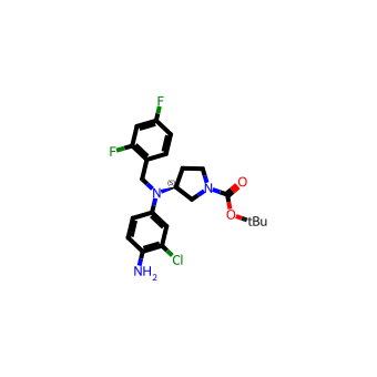 CC(C)(C)OC(=O)N1CC[C@H](N(Cc2ccc(F)cc2F)c2ccc(N)c(Cl)c2)C1